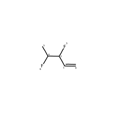 C=CC(F)C(C)F